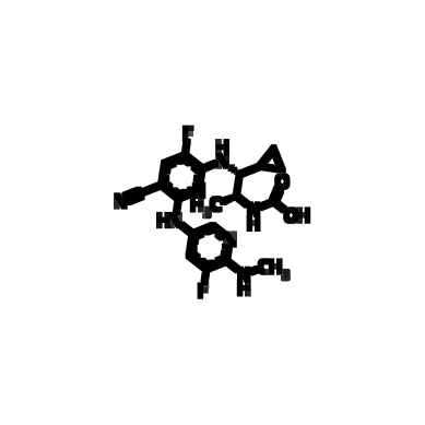 CNc1ncc(Nc2nc(N[C@H](C3CC3)[C@H](C)NC(=O)O)c(F)cc2C#N)cc1F